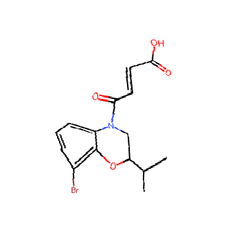 CC(C)C1CN(C(=O)C=CC(=O)O)c2cccc(Br)c2O1